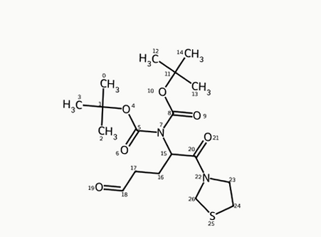 CC(C)(C)OC(=O)N(C(=O)OC(C)(C)C)C(CCC=O)C(=O)N1CCSC1